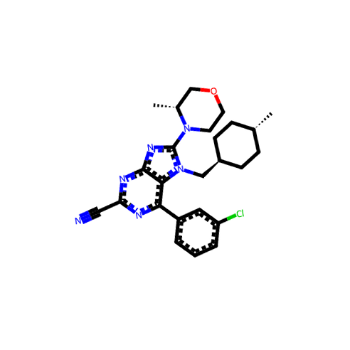 C[C@@H]1COCCN1c1nc2nc(C#N)nc(-c3cccc(Cl)c3)c2n1C[C@H]1CC[C@H](C)CC1